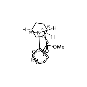 COC(=O)[C@@H]1[C@H]2CC[C@H](CN2Cc2ccccc2)CN1C(=O)OC(C)(C)C